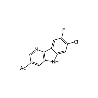 CC(=O)c1cnc2c(c1)[nH]c1cc(Cl)c(F)cc12